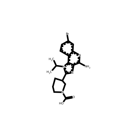 CC(C)n1c(C2CCCN(C(=O)O)C2)nc2c(N)nc3cc(Br)ccc3c21